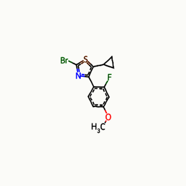 COc1ccc(-c2nc(Br)sc2C2CC2)c(F)c1